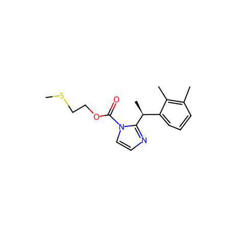 CSCCOC(=O)n1ccnc1[C@@H](C)c1cccc(C)c1C